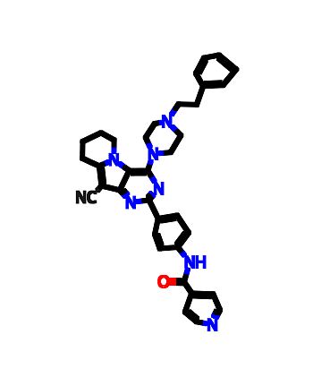 N#Cc1c2n(c3c(N4CCN(CCc5ccccc5)CC4)nc(-c4ccc(NC(=O)c5ccncc5)cc4)nc13)CCCC2